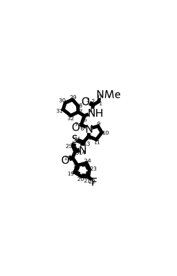 CNCC(=O)NC(C(=O)N1CCCC1c1nc(C(=O)c2ccc(F)cc2)cs1)C1CCCCC1